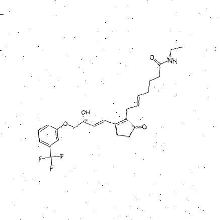 CCNC(=O)CCCC=CCC1=C(C=C[C@@H](O)COc2cccc(C(F)(F)F)c2)CCC1=O